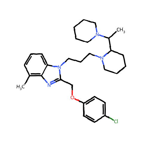 Cc1cccc2c1nc(COc1ccc(Cl)cc1)n2CCCN1CCCCC1C(C)N1CCCCC1